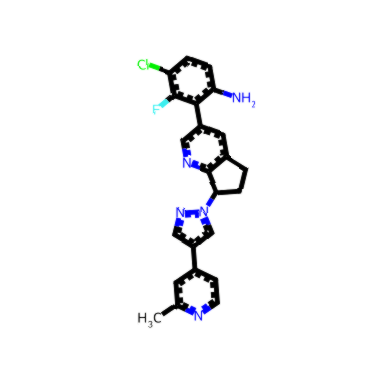 Cc1cc(-c2cnn(C3CCc4cc(-c5c(N)ccc(Cl)c5F)cnc43)c2)ccn1